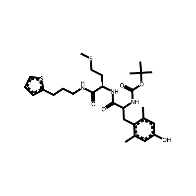 CSCC[C@@H](NC(=O)C(Cc1c(C)cc(O)cc1C)NC(=O)OC(C)(C)C)C(=O)NCCCc1cccs1